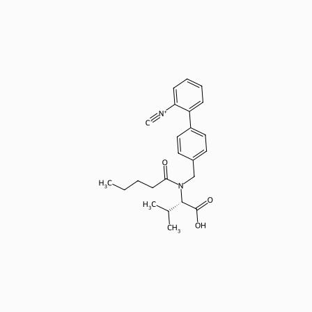 [C-]#[N+]c1ccccc1-c1ccc(CN(C(=O)CCCC)[C@H](C(=O)O)C(C)C)cc1